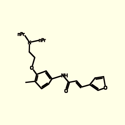 CCCN(CCC)CCOc1cc(NC(=O)C=Cc2ccoc2)ccc1C